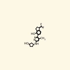 Cc1cc(N[C@@H]2CC[C@@H](O)C2)nnc1-c1ccc2c(c1O)CCC2=C(F)F